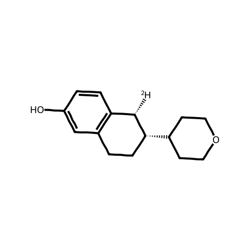 [2H][C@H]1c2ccc(O)cc2CC[C@H]1C1CCOCC1